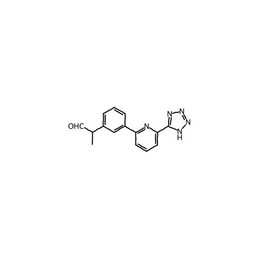 CC(C=O)c1cccc(-c2cccc(-c3nnn[nH]3)n2)c1